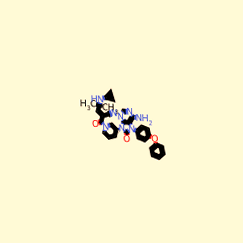 CC(C)(C=C(C#N)C(=O)N1CCC[C@H](n2c(=O)n(-c3ccc(Oc4ccccc4)cc3)c3c(N)ncnc32)C1)NC1CC1